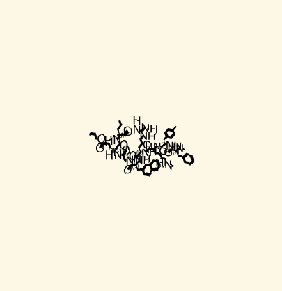 C=CCOC(=O)CC[C@@H](NC(=O)CNC(=O)[C@H](Cc1ccc2ccccc2c1)NC(=O)[C@@H](CCCNC(=N)NC)NC(=O)[C@H](CCCCNC)NC(=O)[C@H](Cc1ccc(C)cc1)NC(=O)[C@H](Cc1ccccc1)NC)C(=O)N[C@H](C=O)CCC